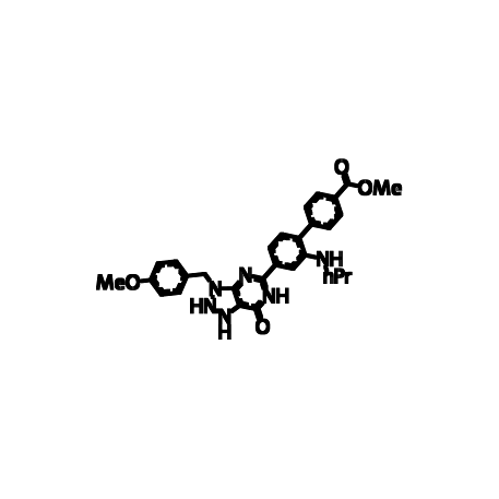 CCCNc1cc(-c2nc3c(c(=O)[nH]2)NNN3Cc2ccc(OC)cc2)ccc1-c1ccc(C(=O)OC)cc1